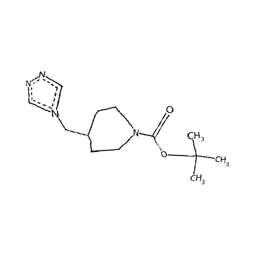 CC(C)(C)OC(=O)N1CCC(Cn2cnnc2)CC1